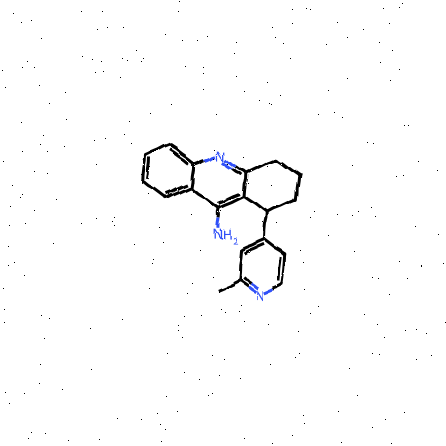 Cc1cc(C2CCCc3nc4ccccc4c(N)c32)ccn1